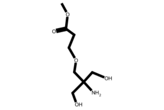 COC(=O)CCOCC(N)(CO)CO